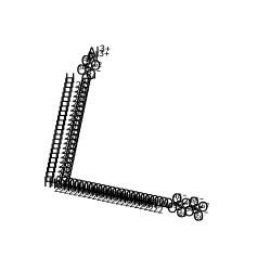 O.O.O.O.O.O.O.O.O.O.O.O.O.O.O.O.O.O.O.O.O.O.O.O.O.O.O.O.O.O.O.O.O.O.O.O.O.O.O.O.O.O.O.O.O.O=S(=O)([O-])[O-].O=S(=O)([O-])[O-].O=S(=O)([O-])[O-].[Al+3].[Al+3]